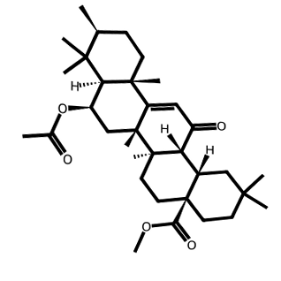 COC(=O)[C@]12CCC(C)(C)C[C@H]1[C@H]1C(=O)C=C3[C@@]4(C)CC[C@H](C)C(C)(C)[C@@H]4[C@H](OC(C)=O)C[C@@]3(C)[C@]1(C)CC2